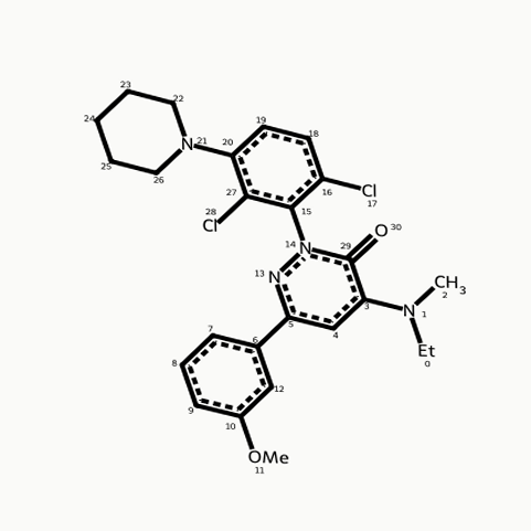 CCN(C)c1cc(-c2cccc(OC)c2)nn(-c2c(Cl)ccc(N3CCCCC3)c2Cl)c1=O